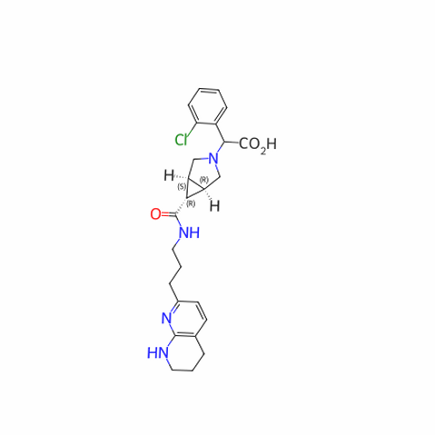 O=C(O)C(c1ccccc1Cl)N1C[C@@H]2[C@H](C1)[C@H]2C(=O)NCCCc1ccc2c(n1)NCCC2